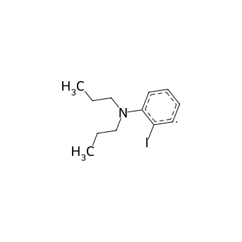 CCCN(CCC)c1ccc[c]c1I